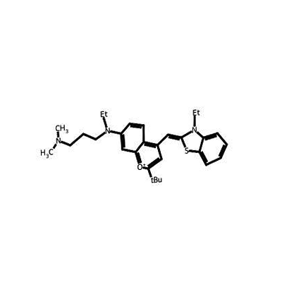 CCN(CCCN(C)C)c1ccc2c(/C=C3\Sc4ccccc4N3CC)cc(C(C)(C)C)[o+]c2c1